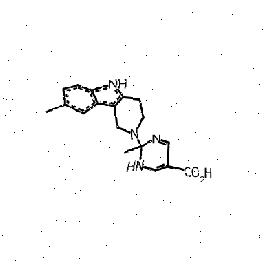 Cc1ccc2[nH]c3c(c2c1)CN(C1(C)N=CC(C(=O)O)=CN1)CC3